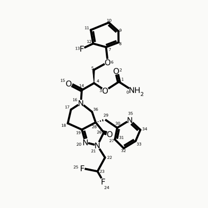 NC(=O)O[C@H](COc1ccccc1F)C(=O)N1CCC2=NN(CC(F)F)C(=O)[C@]2(Cc2ccccn2)C1